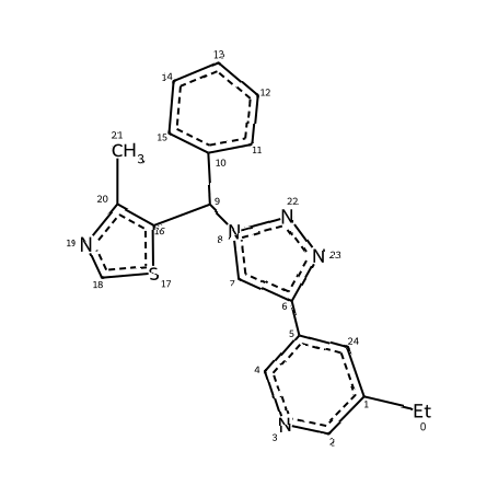 CCc1cncc(-c2cn(C(c3ccccc3)c3scnc3C)nn2)c1